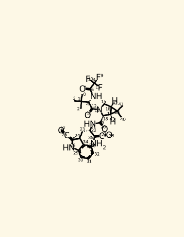 CC(C)(C)[C@H](NC(=O)C(F)(F)F)C(=O)N1C[C@H]2[C@@H]([C@H]1C(=O)N[C@@H](CC1C(=C=O)Nc3ccccc31)C(N)=C=O)C2(C)C